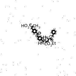 CCOC(=O)C(=CC(N)C(=O)OCc1ccccc1)NC(=N)c1ccc(OC(=O)c2ccc(C=C(C)C(=O)O)cc2)cc1